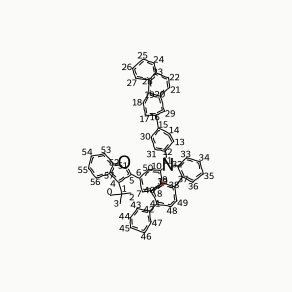 CC(C)(C)c1c(-c2cccc(N(c3ccc(-c4ccc5c(ccc6ccccc65)c4)cc3)c3ccccc3-c3ccc(-c4ccccc4)cc3)c2)oc2ccccc12